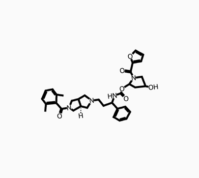 Cc1cccc(C)c1C(=O)N1CC2CN(CCC(NC(=O)OC3CC(O)CN3C(=O)c3ccco3)c3ccccc3)C[C@H]2C1